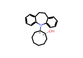 O[C@@H]1CCCCCC[C@H]1N1c2ccccc2CCc2ccccc21